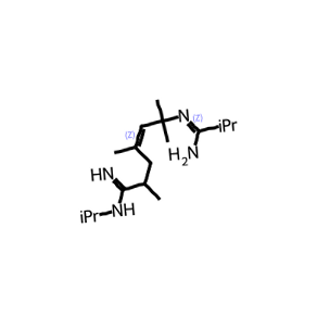 C/C(=C/C(C)(C)/N=C(\N)C(C)C)CC(C)C(=N)NC(C)C